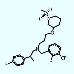 CC(CN(CCCOC1CCCN(S(C)(=O)=O)C1)Cc1cccc(C(F)(F)F)c1F)c1ccc(F)cc1